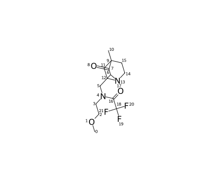 COCCN(CC1C(=O)C2(C)CCN1CC2)C(=O)C(F)(F)F